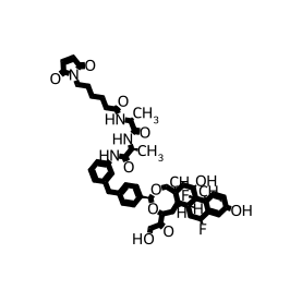 C[C@H](NC(=O)CCCCCN1C(=O)C=CC1=O)C(=O)N[C@@H](C)C(=O)Nc1cccc(Cc2ccc([C@H]3OC[C@@]4(C)C[C@H](O)[C@@]5(F)[C@@H](C[C@H](F)C6=CC(O)C=C[C@@]65C)[C@@H]4CC(C(=O)CO)O3)cc2)c1